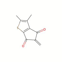 C=C1C(=O)c2sc(C)c(C)c2C1=O